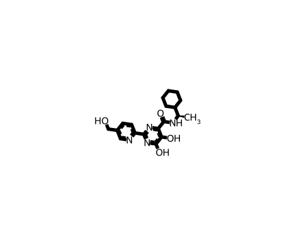 C[C@@H](NC(=O)c1nc(-c2ccc(CO)cn2)nc(O)c1O)C1CCCCC1